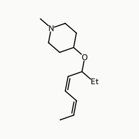 C/C=C\C=C/C(CC)OC1CCN(C)CC1